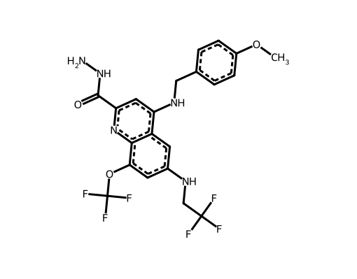 COc1ccc(CNc2cc(C(=O)NN)nc3c(OC(F)(F)F)cc(NCC(F)(F)F)cc23)cc1